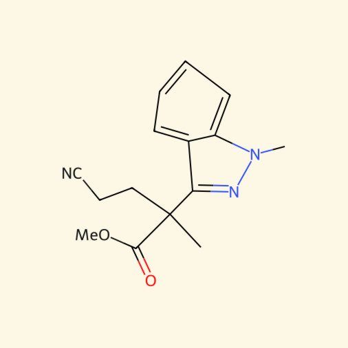 COC(=O)C(C)(CCC#N)c1nn(C)c2ccccc12